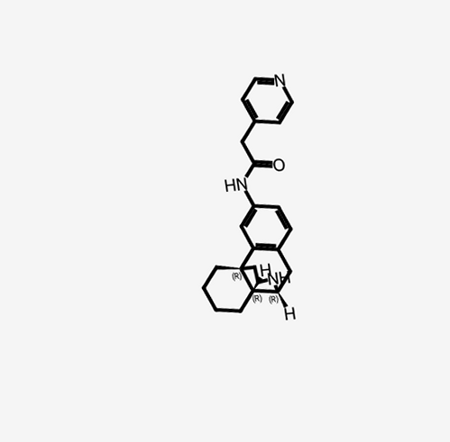 O=C(Cc1ccncc1)Nc1ccc2c(c1)[C@@]13CCCC[C@H]1[C@@H](C2)NCC3